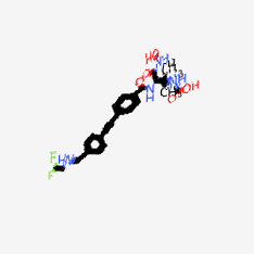 CC(C)(NC(=O)O)[C@H](NC(=O)c1ccc(C#Cc2ccc(CNCC(F)F)cc2)cc1)C(=O)NO